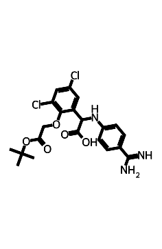 CC(C)(C)OC(=O)COc1c(Cl)cc(Cl)cc1C(Nc1ccc(C(=N)N)cc1)C(=O)O